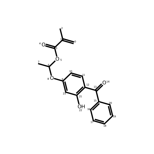 C=C(C)C(=O)OC(C)Oc1ccc(C(=O)c2ccccc2)c(O)c1